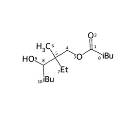 CCC(C)C(=O)OCC(C)(CC)C(O)C(C)CC